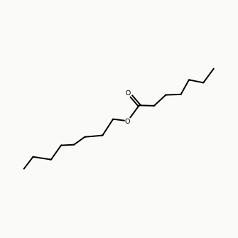 CCCCCCCCOC(=O)CCCCCC